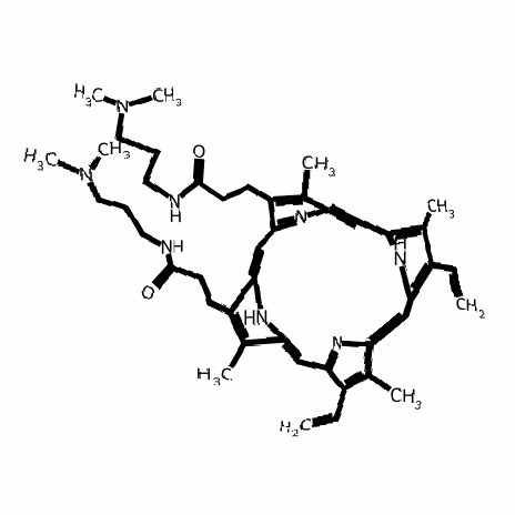 C=CC1=C(C)c2cc3[nH]c(cc4nc(cc5[nH]c(cc1n2)c(C)c5CCC(=O)NCCCN(C)C)C(CCC(=O)NCCCN(C)C)=C4C)c(C)c3C=C